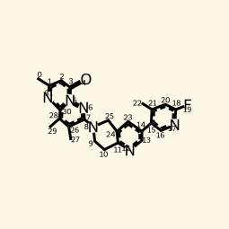 Cc1cc(=O)n2nc(N3CCc4ncc(-c5cnc(F)cc5C)cc4C3)c(C)c(C)c2n1